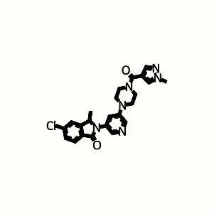 CC1c2cc(Cl)ccc2C(=O)N1c1cncc(N2CCN(C(=O)c3cnn(C)c3)CC2)c1